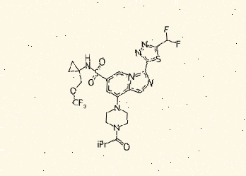 CC(C)C(=O)N1CCN(c2cc(S(=O)(=O)NC3(COC(F)(F)F)CC3)cn3c(-c4nnc(C(F)F)s4)ncc23)CC1